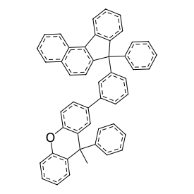 CC1(c2ccccc2)c2ccccc2Oc2ccc(-c3cccc(C4(c5ccccc5)c5ccccc5-c5c4ccc4ccccc54)c3)cc21